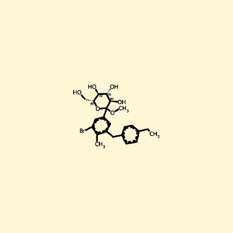 CCc1ccc(Cc2cc(C3(OC)O[C@H](CO)[C@@H](O)[C@H](O)[C@H]3O)cc(Br)c2C)cc1